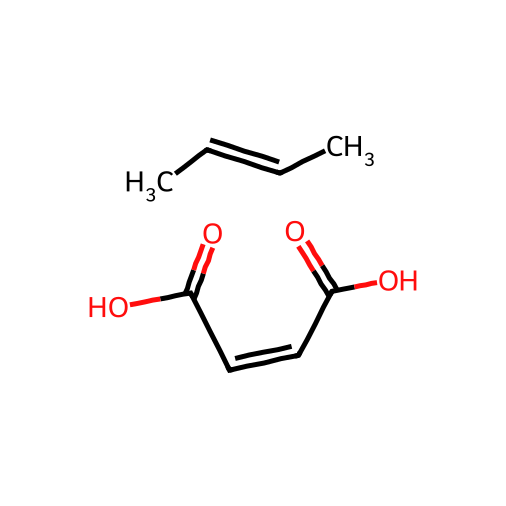 C/C=C/C.O=C(O)/C=C\C(=O)O